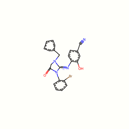 N#Cc1ccc(/N=C2\N(Cc3ccccc3)CC(=O)N2c2ccccc2Br)c(O)c1